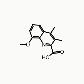 COc1cccc2c(C)c(C)c(C(=O)O)nc12